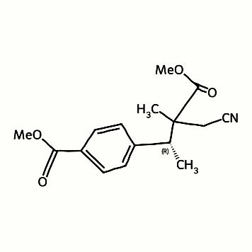 COC(=O)c1ccc([C@@H](C)C(C)(CC#N)C(=O)OC)cc1